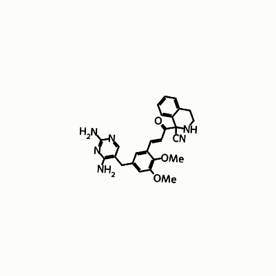 COc1cc(Cc2cnc(N)nc2N)cc(C=CC(=O)C2(C#N)NCCc3ccccc32)c1OC